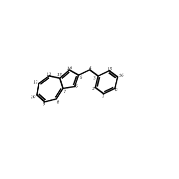 c1ccc(Cc2cc3cccccc-3c2)cc1